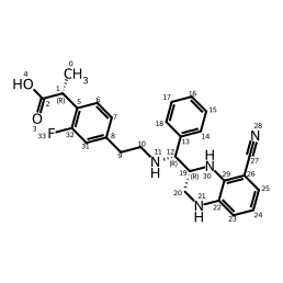 C[C@@H](C(=O)O)c1ccc(CCN[C@H](c2ccccc2)[C@H]2CNc3cccc(C#N)c3N2)cc1F